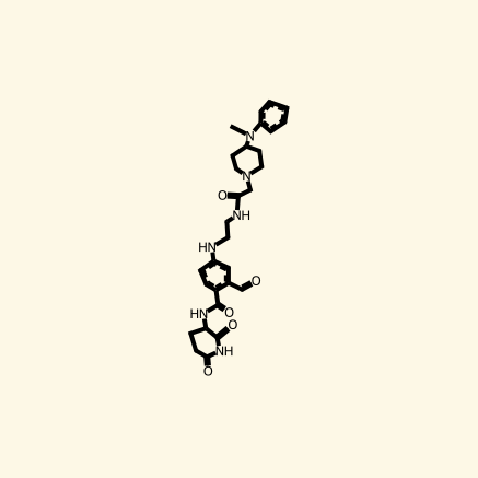 CN(c1ccccc1)C1CCN(CC(=O)NCCNc2ccc(C(=O)NC3CCC(=O)NC3=O)c(C=O)c2)CC1